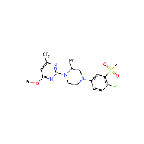 CC(C)Oc1cc(C(F)(F)F)nc(N2CCN(c3ccc(F)c(S(C)(=O)=O)c3)CC2C(C)C)n1